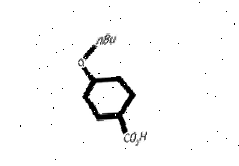 CCCCOC1CCC(C(=O)O)CC1